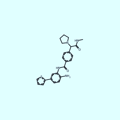 CNC(=O)C(c1ccc(C(=O)Nc2cc(-c3cccs3)ccc2N)cc1)N1CCCC1